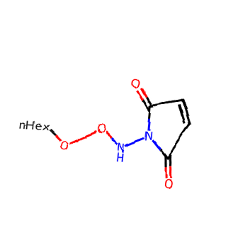 CCCCCCOONN1C(=O)C=CC1=O